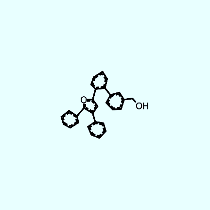 OCc1cccc(-c2ccccc2-c2cc(-c3ccccc3)c(-c3ccccc3)o2)c1